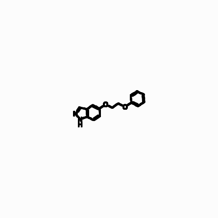 c1ccc(OCCOc2ccc3[nH]ncc3c2)cc1